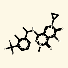 Cc1c(C(C)Nc2nn(C)c(=O)c3c(Cl)c(=O)n(C4CC4)cc23)cccc1C(F)(F)F